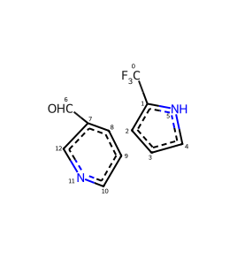 FC(F)(F)c1ccc[nH]1.O=Cc1cccnc1